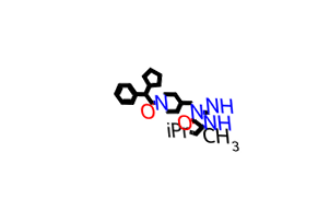 CC(C)CC1(C)NC(=N)N(CC2CCN(C(=O)C(c3ccccc3)C3CCCC3)CC2)C1=O